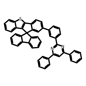 c1ccc(-c2cc(-c3ccccc3)nc(-c3cccc(-c4ccc5c(c4)C4(c6ccccc6-c6ccccc64)c4c-5sc5ccccc45)c3)n2)cc1